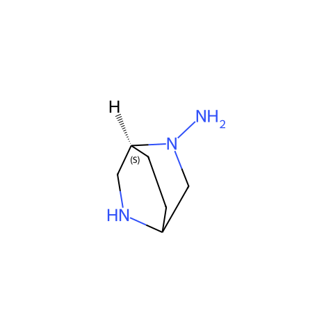 NN1CC2CC[C@H]1CN2